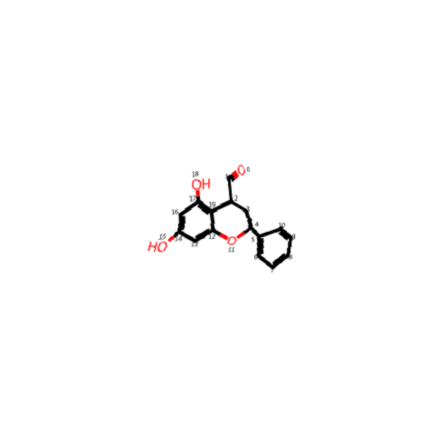 O=CC1CC(c2ccccc2)Oc2cc(O)cc(O)c21